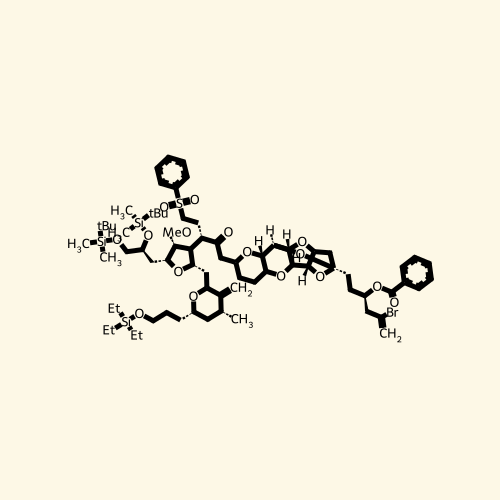 C=C(Br)C[C@@H](CC[C@@]12CC3O[C@H]4[C@@H](O1)[C@H]1OC(CC(=O)[C@@H](CCS(=O)(=O)c5ccccc5)C5[C@H](CC6O[C@@H](CCCO[Si](CC)(CC)CC)C[C@@H](C)C6=C)O[C@H](C[C@@H](CO[Si](C)(C)C(C)(C)C)O[Si](C)(C)C(C)(C)C)[C@@H]5OC)CCC1O[C@H]4[C@H]3O2)OC(=O)c1ccccc1